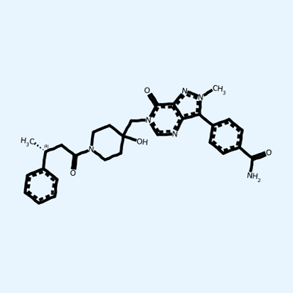 C[C@H](CC(=O)N1CCC(O)(Cn2cnc3c(-c4ccc(C(N)=O)cc4)n(C)nc3c2=O)CC1)c1ccccc1